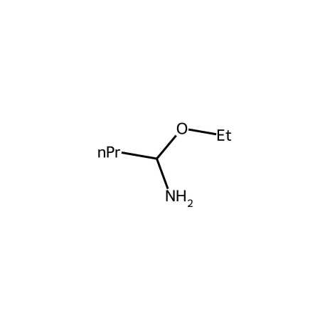 CCCC(N)OCC